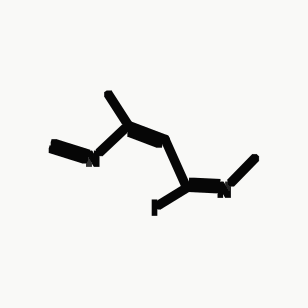 C=N/C(C)=C\C(I)=N/C